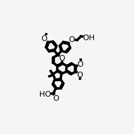 COc1ccc(C2(c3ccc(OCCO)cc3)C=Cc3c4c(c5cc(OC)c(OC)cc5c3O2)-c2ccc(C(=O)O)cc2C4(C)C)cc1